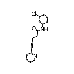 O=C(CCC#Cc1ccccn1)Nc1cccc(Cl)c1